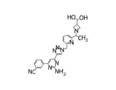 CC(c1cccc(Cn2cc(-c3cc(-c4cccc(C#N)c4)nc(N)n3)nn2)n1)N1CC(C(O)O)C1